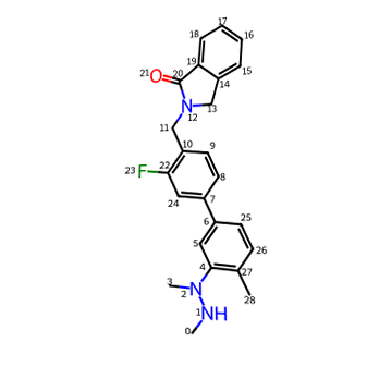 CNN(C)c1cc(-c2ccc(CN3Cc4ccccc4C3=O)c(F)c2)ccc1C